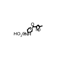 Cc1cc(C(=O)N2CCC(NC(=O)O)CC2)no1